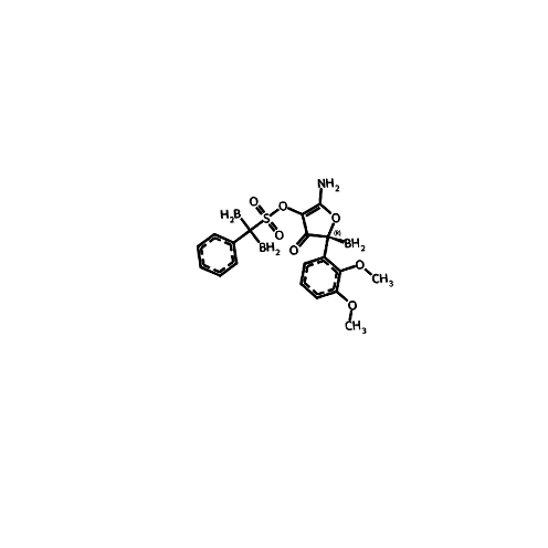 BC(B)(c1ccccc1)S(=O)(=O)OC1=C(N)O[C@](B)(c2cccc(OC)c2OC)C1=O